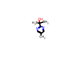 BC(B)(O)c1ncc(C)cn1